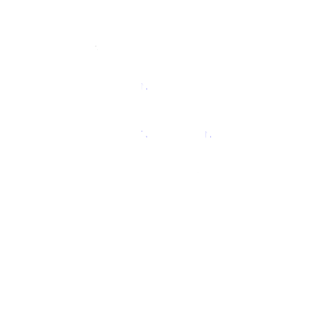 CC(=O)Cc1cn(COCC[Si](C)(C)C)c(C2CCCN2C(=O)O)n1